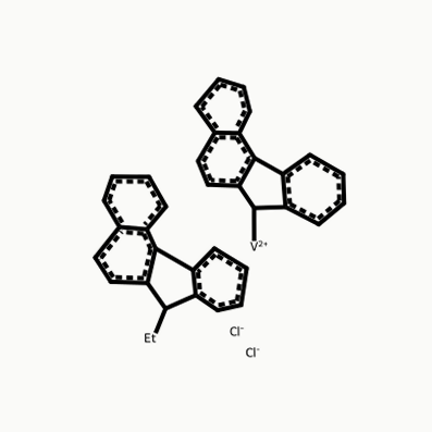 CCC1c2ccccc2-c2c1ccc1ccccc21.[Cl-].[Cl-].[V+2][CH]1c2ccccc2-c2c1ccc1ccccc21